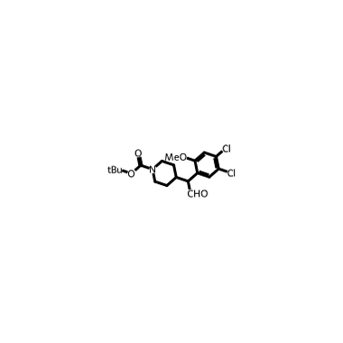 COc1cc(Cl)c(Cl)cc1C(C=O)C1CCN(C(=O)OC(C)(C)C)CC1